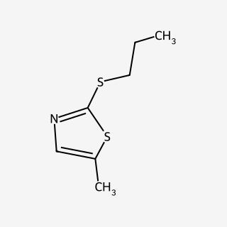 CCCSc1ncc(C)s1